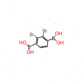 OB(O)c1ccc(B(O)O)c(Br)c1Br